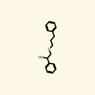 OC(COCCCc1ccccc1)c1ccccc1